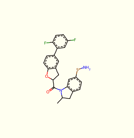 CC1Cc2ccc(SN)cc2N1C(=O)C1Cc2cc(-c3cc(F)ccc3F)ccc2O1